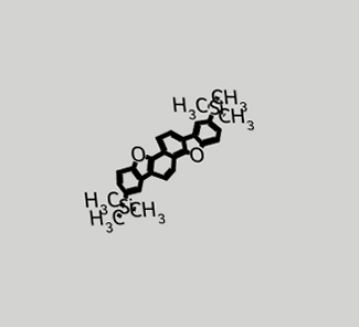 C[Si](C)(C)c1ccc2oc3c(ccc4c3ccc3c5cc([Si](C)(C)C)ccc5oc34)c2c1